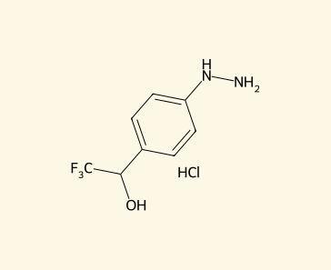 Cl.NNc1ccc(C(O)C(F)(F)F)cc1